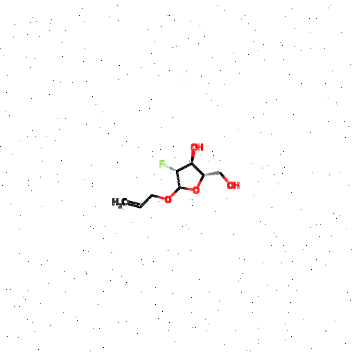 C=CCOC1O[C@@H](CO)[C@H](O)[C@H]1F